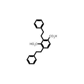 O=C(O)c1ccc(CCc2ccccc2)c(C(=O)O)c1CCc1ccccc1